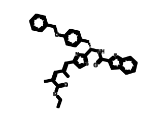 CCOC(=O)/C(C)=C\C(C)=C\c1csc([C@H](Cc2ccc(OCc3ccccc3)cc2)NC(=O)c2cc3ccccc3s2)n1